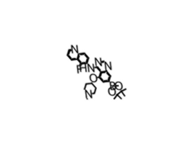 CN1CCC(Oc2cc(B3OC(C)(C)C(C)(C)O3)cc3ncnc(Nc4ccc5ncccc5c4F)c23)CC1